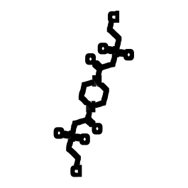 O=C(CS(=O)(=O)CCCl)N1CCN(C(=O)CS(=O)(=O)CCCl)CC1